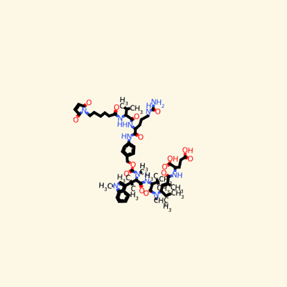 C/C(=C\C(C(C)C)N(C)C(=O)C(NC(=O)C(N(C)C(=O)OCc1ccc(NC(=O)C(CCCNC(N)=O)NC(=O)C(NC(=O)CCCCCN2C(=O)C=CC2=O)C(C)C)cc1)C(C)(C)c1cn(C)c2ccccc12)C(C)(C)C)C(=O)NC(CCC(=O)O)C(=O)O